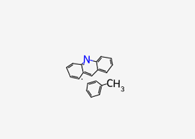 Cc1ccccc1.[c]1cccc2nc3ccccc3cc12